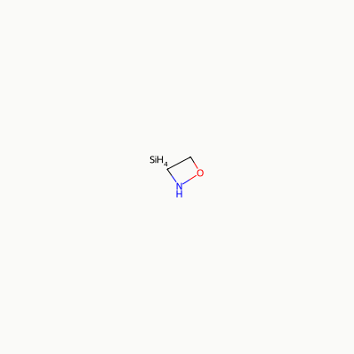 C1CON1.[SiH4]